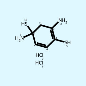 Cl.Cl.NC1=C(S)C=CC(N)(S)C1